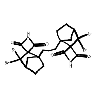 O=C1NC(=O)C12C1(CCC34CCC(C3)C(Br)(Br)C43C(=O)NC3=O)CCC(C1)C2(Br)Br